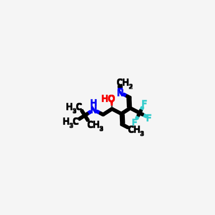 C=N/C=C(\C(=C/C)[C@@H](O)CNC(C)(C)C)C(F)(F)F